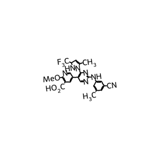 COc1ncc(-c2cnc(Nc3cc(C)cc(C#N)c3)nc2N2NC(C(F)(F)F)C=C2C)cc1C(=O)O